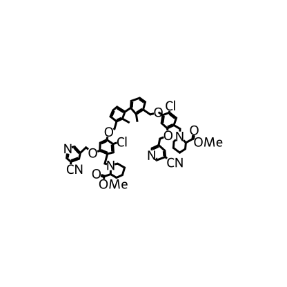 COC(=O)C1CCCCN1Cc1cc(Cl)c(OCc2cccc(-c3cccc(COc4cc(OCc5cncc(C#N)c5)c(CN5CCCCC5C(=O)OC)cc4Cl)c3C)c2C)cc1OCc1cncc(C#N)c1